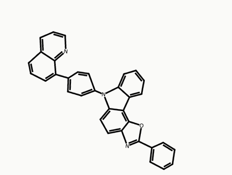 c1ccc(-c2nc3ccc4c(c5ccccc5n4-c4ccc(-c5cccc6cccnc56)cc4)c3o2)cc1